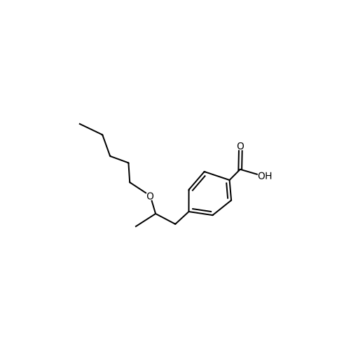 CCCCCOC(C)Cc1ccc(C(=O)O)cc1